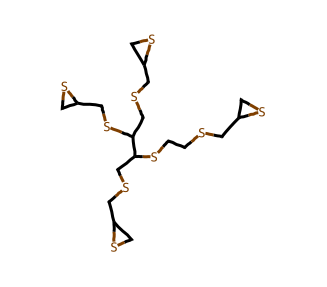 C(CSC(CSCC1CS1)C(CSCC1CS1)SCC1CS1)SCC1CS1